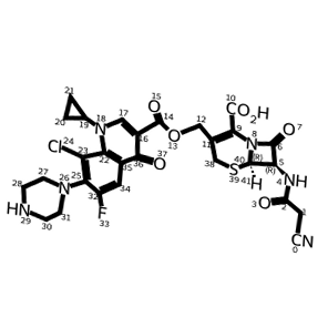 N#CCC(=O)N[C@@H]1C(=O)N2C(C(=O)O)=C(COC(=O)c3cn(C4CC4)c4c(Cl)c(N5CCNCC5)c(F)cc4c3=O)CS[C@H]12